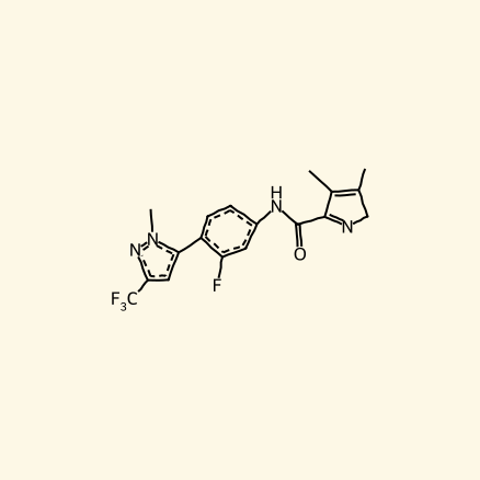 CC1=C(C)C(C(=O)Nc2ccc(-c3cc(C(F)(F)F)nn3C)c(F)c2)=NC1